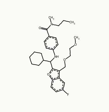 CCCN(C)C(=O)c1ccc(NC(c2oc3ccc(F)cc3c2COCCOC)C2CCCCC2)cc1